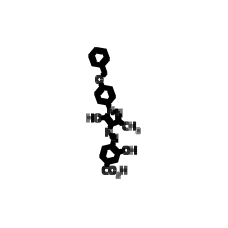 Cc1nn(-c2ccc(OCc3ccccc3)cc2)c(O)c1/N=N/c1ccc(C(=O)O)cc1O